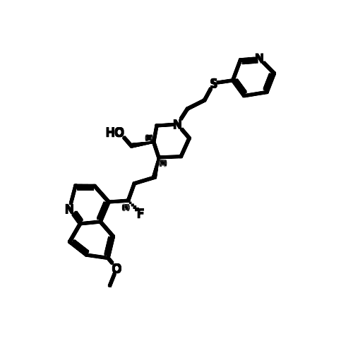 COc1ccc2nccc([C@@H](F)CC[C@@H]3CCN(CCSc4cccnc4)C[C@@H]3CO)c2c1